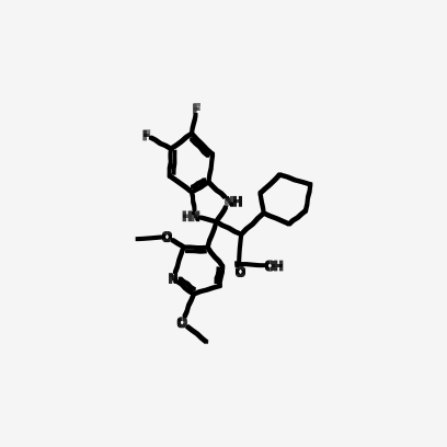 COc1ccc(C2(C(C(=O)O)C3CCCCC3)Nc3cc(F)c(F)cc3N2)c(OC)n1